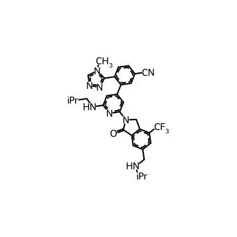 CC(C)CNc1cc(-c2cc(C#N)ccc2-c2nncn2C)cc(N2Cc3c(cc(CNC(C)C)cc3C(F)(F)F)C2=O)n1